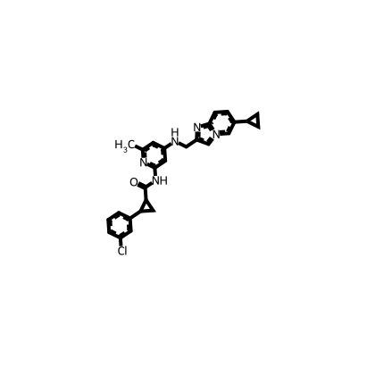 Cc1cc(NCc2cn3cc(C4CC4)ccc3n2)cc(NC(=O)C2CC2c2cccc(Cl)c2)n1